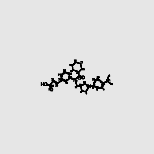 CN(C)c1ccc(N2CCC(CN(C(=O)C3CCCCC3)c3cccc(C=CC(=O)O)c3)C2)cc1